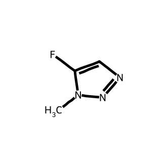 Cn1nncc1F